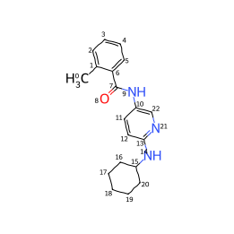 Cc1ccccc1C(=O)Nc1ccc(NC2CCCCC2)nc1